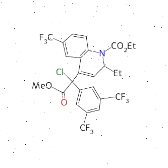 CCOC(=O)N1c2ccc(C(F)(F)F)cc2C(C(Cl)(C(=O)OC)c2cc(C(F)(F)F)cc(C(F)(F)F)c2)=CC1CC